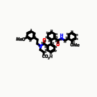 COc1cccc(CCN(CCC(=O)O)C(=O)c2ccccc2-c2ccccc2C(=O)NCc2ccccc2OC)c1